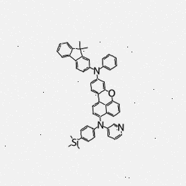 CC1(C)c2ccccc2-c2ccc(N(c3ccccc3)c3ccc4c(c3)Oc3cccc5c(N(c6ccc([Si](C)(C)C)cc6)c6cccnc6)ccc-4c35)cc21